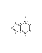 CN1CCN=C2C=CC=C21